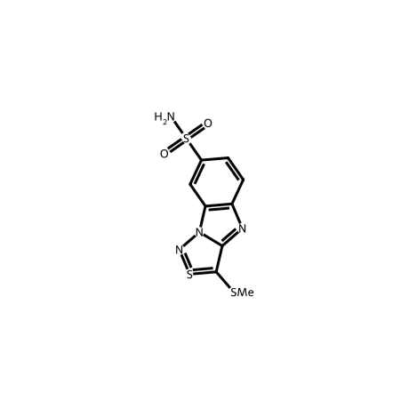 CSC1=S=Nn2c1nc1ccc(S(N)(=O)=O)cc12